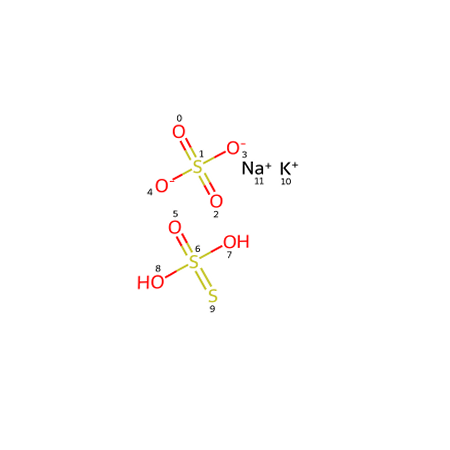 O=S(=O)([O-])[O-].O=S(O)(O)=S.[K+].[Na+]